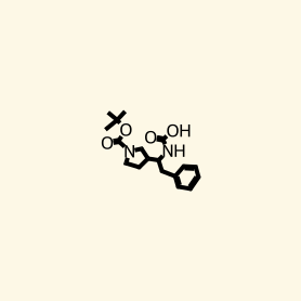 CC(C)(C)OC(=O)N1CCC(C(Cc2ccccc2)NC(=O)O)C1